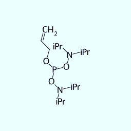 C=CCOP(ON(C(C)C)C(C)C)ON(C(C)C)C(C)C